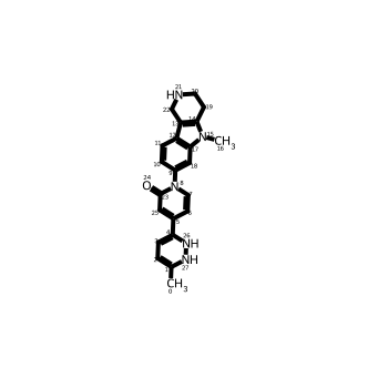 CC1=CC=C(c2ccn(-c3ccc4c5c(n(C)c4c3)CCNC5)c(=O)c2)NN1